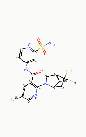 NS(=O)(=O)c1cc(NC(=O)c2cc(C(F)(F)F)cnc2N2CC3CC2CC3(F)F)ccn1